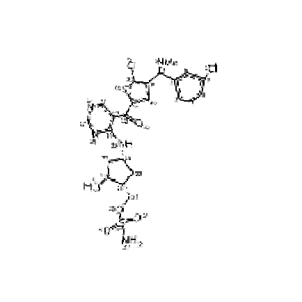 CN[C@@H](c1cccc(Cl)c1)c1cc(C(=O)c2cncnc2N[C@@H]2C[C@H](COS(N)(=O)=O)[C@@H](O)C2)sc1Cl